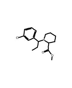 CCC(c1cccc(Cl)c1)N1CCCCC1C(=O)OC